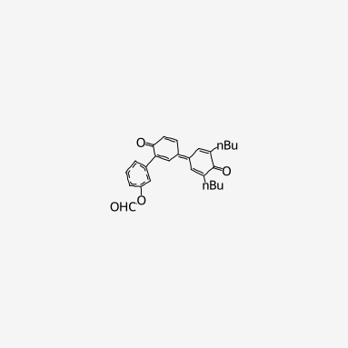 CCCCC1=CC(=C2C=CC(=O)C(c3cccc(OC=O)c3)=C2)C=C(CCCC)C1=O